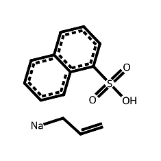 C=C[CH2][Na].O=S(=O)(O)c1cccc2ccccc12